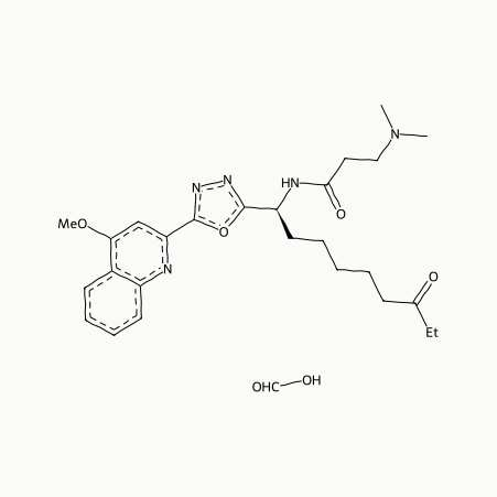 CCC(=O)CCCCC[C@H](NC(=O)CCN(C)C)c1nnc(-c2cc(OC)c3ccccc3n2)o1.O=CO